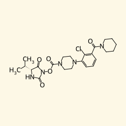 CC(C)[C@H]1NC(=O)N(OC(=O)N2CCN(c3cccc(C(=O)N4CCCCC4)c3Cl)CC2)C1=O